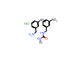 CCNC(=O)NCc1cccc([N+](=O)[O-])c1.Cl.NCc1cccc([N+](=O)[O-])c1